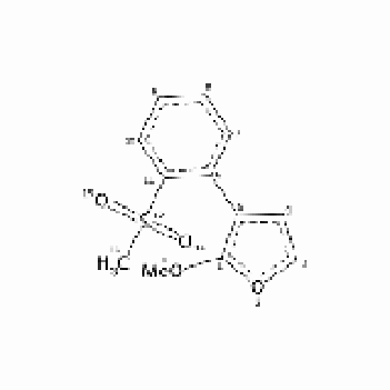 COc1oc[c]c1-c1ccccc1S(C)(=O)=O